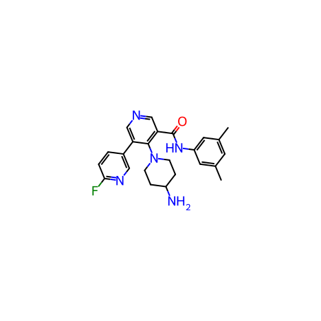 Cc1cc(C)cc(NC(=O)c2cncc(-c3ccc(F)nc3)c2N2CCC(N)CC2)c1